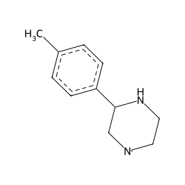 Cc1ccc(C2C[N]CCN2)cc1